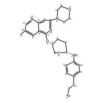 CC(=O)COc1cnc(N[C@H]2CC[C@@H](Oc3nc(N4CCOCC4)cc4ncc(C)cc34)CC2)nc1